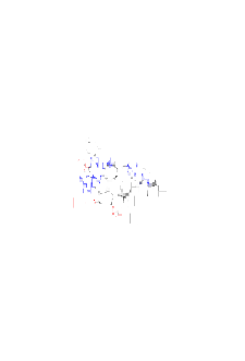 COc1cc(O)c(-c2nnc(C(=O)NC3CCCC3)n2-c2ccc(CN3CCN(C(C)C)CC3)cc2)cc1C(C)C